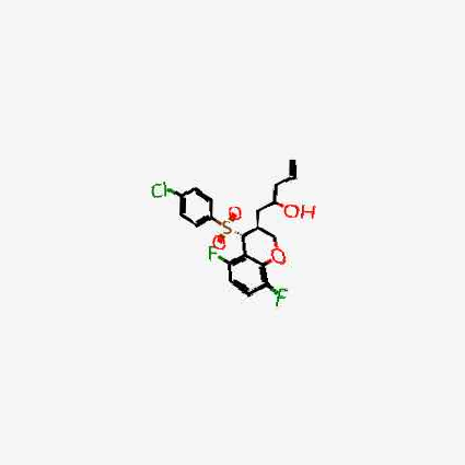 C=CCC(O)C[C@H]1COc2c(F)ccc(F)c2[C@@H]1S(=O)(=O)c1ccc(Cl)cc1